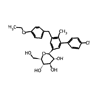 CCOc1ccc(Cc2cc([C@@H]3O[C@H](CO)[C@@H](O)[C@H](O)[C@H]3O)cc(-c3ccc(Cl)cc3)c2C)cc1